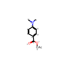 CC(=O)OOC(=O)c1ccc(N(C)C)cc1